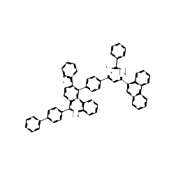 c1ccc(-c2ccc(-c3nc4ccccc4c4c(-c5ccc(-c6cc(-c7cc8ccccc8c8ccccc78)nc(-c7ccccc7)n6)cc5)c5c(cc34)oc3ccccc35)cc2)cc1